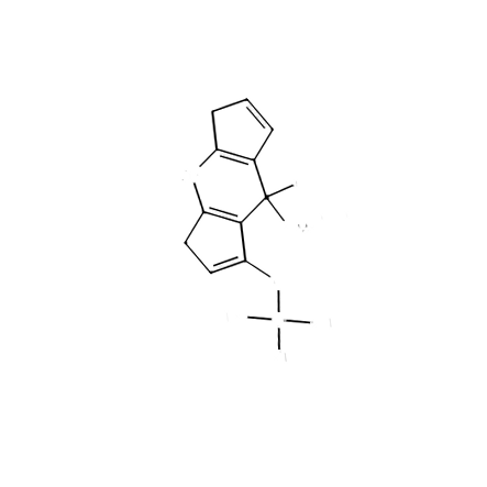 COC1(C)C2=[C](CC=C2)[Zr+2][C]2=C1C(O[Si](C)(C)C)=CC2.[Cl-].[Cl-]